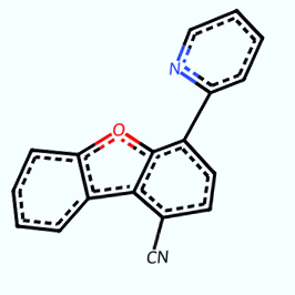 N#Cc1ccc(-c2ccccn2)c2oc3ccccc3c12